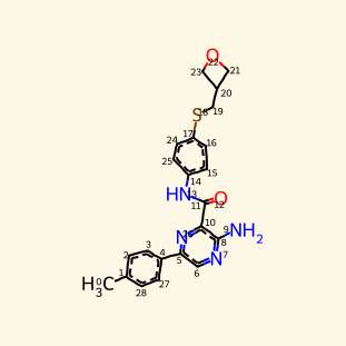 Cc1ccc(-c2cnc(N)c(C(=O)Nc3ccc(SCC4COC4)cc3)n2)cc1